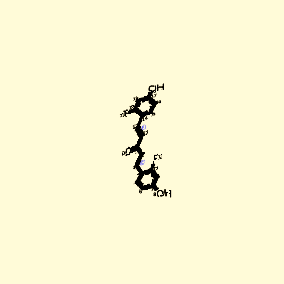 O=C(/C=C/c1ccc(O)cc1F)/C=C/c1ccc(O)cc1F